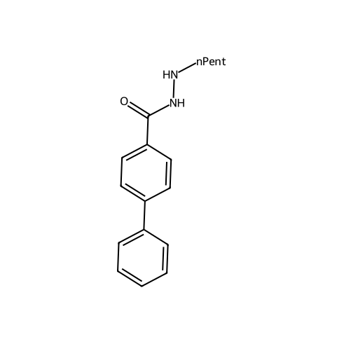 CCCCCNNC(=O)c1ccc(-c2ccccc2)cc1